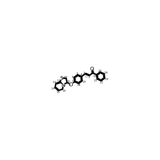 O=C(/C=C/c1ccc(OC2CSC3=CC=CCN32)cc1)c1ccccc1